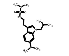 CC(C)Cn1cc(CCNS(=O)(=O)N(C)C)c2ccc(N(C)C)cc21